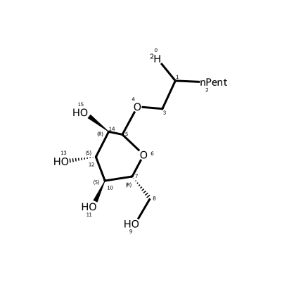 [2H]C(CCCCC)COC1O[C@H](CO)[C@@H](O)[C@H](O)[C@H]1O